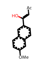 COc1ccc2cc(C(O)=CC(C)=O)ccc2c1